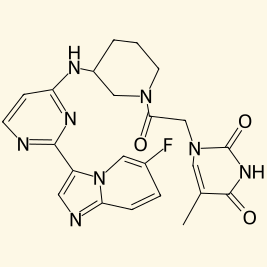 Cc1cn(CC(=O)N2CCCC(Nc3ccnc(-c4cnc5ccc(F)cn45)n3)C2)c(=O)[nH]c1=O